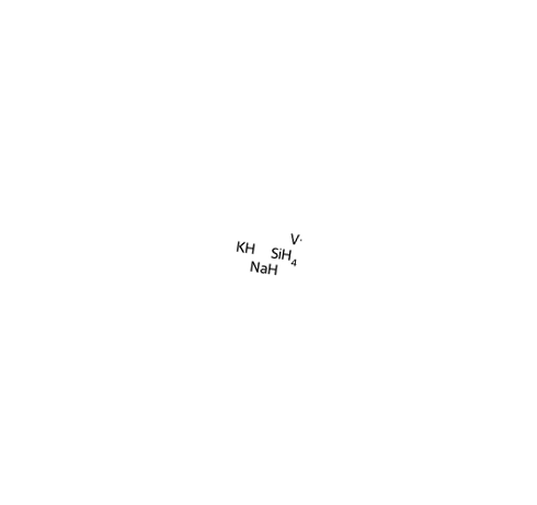 [KH].[NaH].[SiH4].[V]